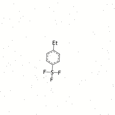 CCc1ccc(S(F)(F)F)cc1